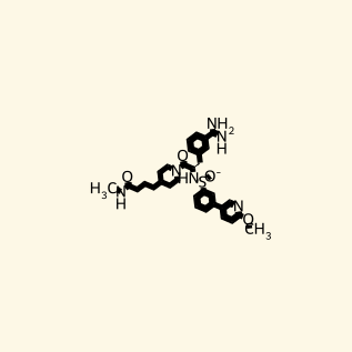 CNC(=O)CCCC1CCN(C(=O)[C@H](Cc2cccc(C(=N)N)c2)N[S+]([O-])c2cccc(-c3ccc(OC)nc3)c2)CC1